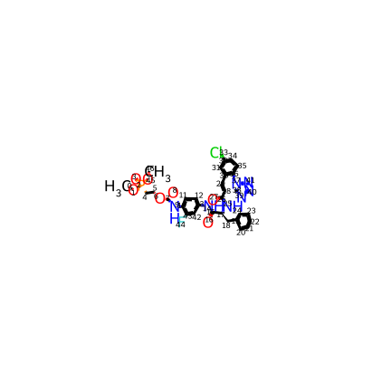 COP(=O)(CCOC(=O)Nc1ccc(NC(=O)[C@H](Cc2ccccc2)NC(=O)C=Cc2cc(Cl)ccc2-n2cnnn2)cc1F)OC